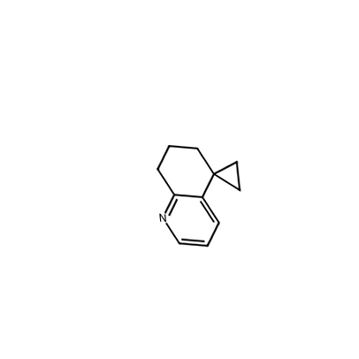 c1cnc2c(c1)C1(CCC2)CC1